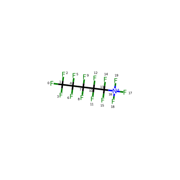 FC(F)(F)C(F)(F)C(F)(F)C(F)(F)C(F)(F)[N+](F)(F)F